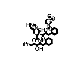 CC(C)CCC(O)C(CC1CCCCC1)NC(=O)[C@H](Cc1c[nH]cn1)N(C)C(=O)C(Cc1ccccc1)OC(=O)N1CCS(=O)(=O)C1